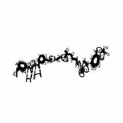 CC(CCCCN1C[C@@H](c2ccc3c(c2)COC(C)(C)O3)OC1=O)OCCOCc1cccc(NC(=O)Nc2cccc(I)c2)c1